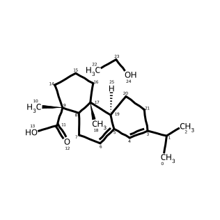 CC(C)C1=CC2=CCC3[C@](C)(C(=O)O)CCC[C@]3(C)[C@H]2CC1.CCO